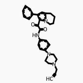 C#CCN1CCN(c2ccc(NC(=O)C(=O)c3c(-c4ccccc4)cc4n3CCCC4)cc2)CC1